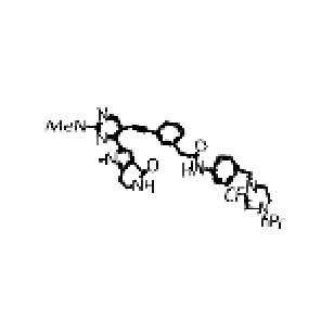 CCCN1CCN(Cc2ccc(NC(=O)Cc3cccc(C#Cc4cnc(NC)nc4-c4cc5c(n4C)CCNC5=O)c3)cc2C(F)(F)F)CC1